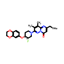 COCc1cc(=O)n2nc(N3CC[C@H](Oc4ccc5c(c4)OCCO5)[C@@H](F)C3)c(C)c(C)c2n1